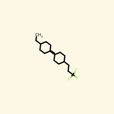 CCC1CCC(=C2CCC(CCC(F)(F)F)CC2)CC1